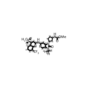 [2H]C([2H])([2H])n1c(=O)n([C@@H]2CC[C@@H](NC(=O)OC)C2)c2cc(Nc3cc(S(C)(=O)=O)c4cccc(C(F)(F)F)c4n3)ncc21